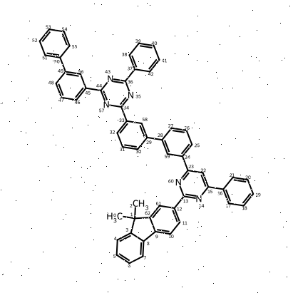 CC1(C)c2ccccc2-c2ccc(-c3nc(-c4ccccc4)cc(-c4cccc(-c5cccc(-c6nc(-c7ccccc7)nc(-c7cccc(-c8ccccc8)c7)n6)c5)c4)n3)cc21